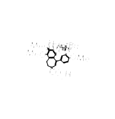 COc1ccc(C2=C[C@H](C(=O)O)CCc3c2cc(OC)c(OC)c3OC)cc1O[Si](C)(C)C(C)(C)C